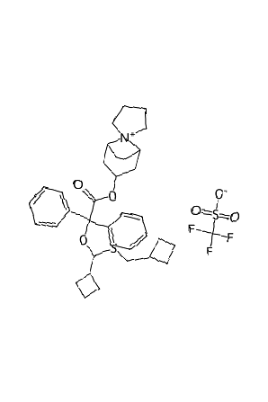 O=C(OC1CC2CCC(C1)[N+]21CCCC1)C(OC(SCC1CCC1)C1CCC1)(c1ccccc1)c1ccccc1.O=S(=O)([O-])C(F)(F)F